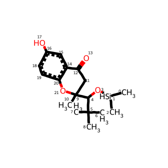 C[SiH](C)OC(C(C)(C)C)C1(C)CC(=O)c2cc(O)ccc2O1